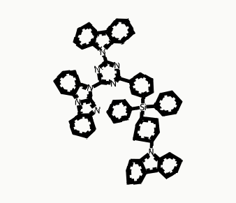 c1ccc([Si](c2ccccc2)(c2ccc(-n3c4ccccc4c4ccccc43)cc2)c2cccc(-c3nc(-n4c5ccccc5c5ccccc54)nc(-n4c5ccccc5n5c6ccccc6nc45)n3)c2)cc1